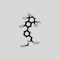 CCOC(=O)C(=Cc1cccc(-c2cc3c(cc2C)C(C)(C)CCC3(C)C)c1)OCOC